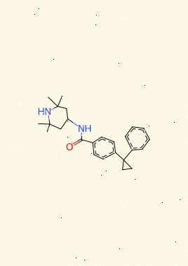 CC1(C)CC(NC(=O)c2ccc(C3(c4ccccc4)CC3)cc2)CC(C)(C)N1